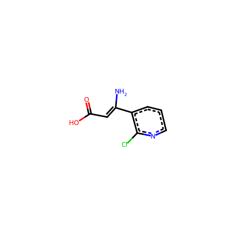 N/C(=C\C(=O)O)c1cccnc1Cl